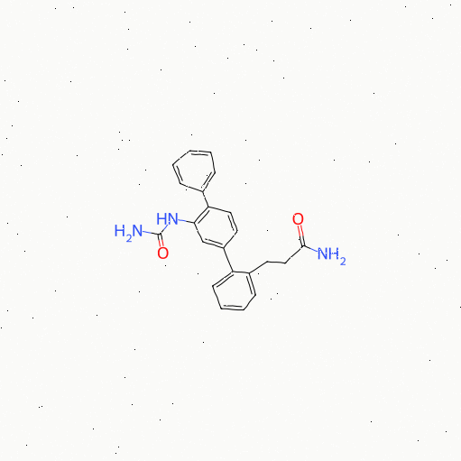 NC(=O)CCc1ccccc1-c1ccc(-c2ccccc2)c(NC(N)=O)c1